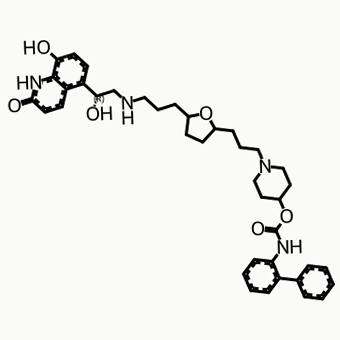 O=C(Nc1ccccc1-c1ccccc1)OC1CCN(CCCC2CCC(CCCNC[C@H](O)c3ccc(O)c4[nH]c(=O)ccc34)O2)CC1